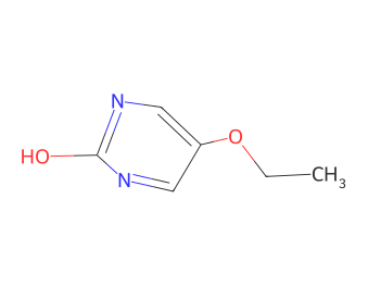 CCOc1cnc(O)nc1